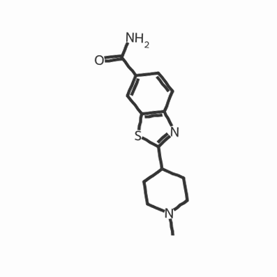 CN1CCC(c2nc3ccc(C(N)=O)cc3s2)CC1